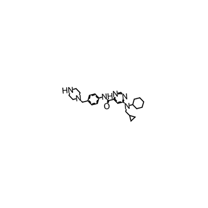 O=C(Nc1ccc(CN2CCNCC2)cc1)c1cc(N(CC2CC2)C2CCCCC2)ncn1